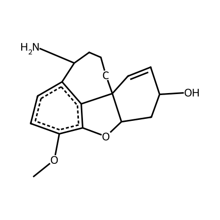 COc1ccc2c3c1OC1CC(O)C=CC31CCCC2N